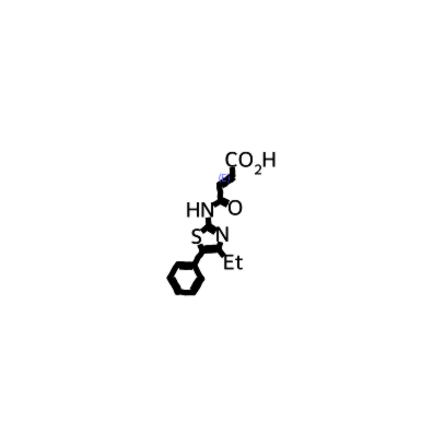 CCc1nc(NC(=O)/C=C/C(=O)O)sc1-c1ccccc1